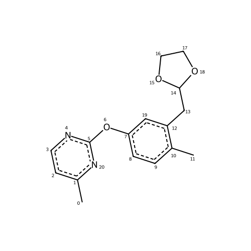 Cc1ccnc(Oc2ccc(C)c(CC3OCCO3)c2)n1